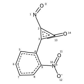 O=Nc1c(-c2ccccc2[N+](=O)[O-])c1=O